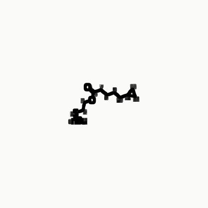 CCCCSCCOC(=O)CCCCC1CC1